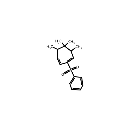 CC1C=CC(S(=O)(=O)c2ccccc2)=CC(C)C1(C)C